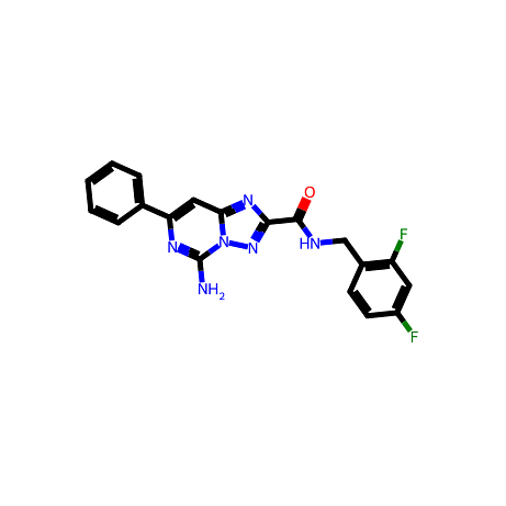 Nc1nc(-c2ccccc2)cc2nc(C(=O)NCc3ccc(F)cc3F)nn12